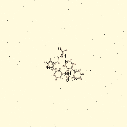 CC(=O)NCCn1cnnc1-c1cccc(NC(=O)c2ncccc2-c2ccncc2)c1